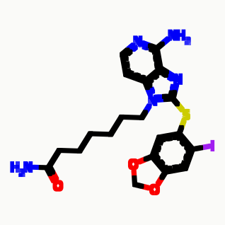 NC(=O)CCCCCCn1c(Sc2cc3c(cc2I)OCO3)nc2c(N)nccc21